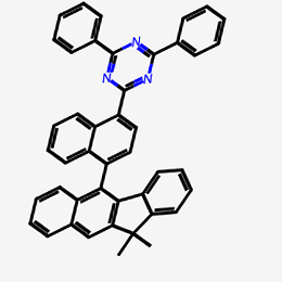 CC1(C)c2ccccc2-c2c1cc1ccccc1c2-c1ccc(-c2nc(-c3ccccc3)nc(-c3ccccc3)n2)c2ccccc12